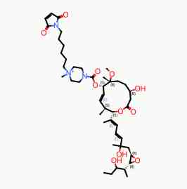 CCC(O)C(C)[C@H]1O[C@@H]1CC(C)(O)/C=C/C=C(\C)[C@H]1OC(=O)C[C@H](O)CC[C@@](C)(OC)[C@@H](OC(=O)N2CC[N+](C)(CCCCCCN3C(=O)C=CC3=O)CC2)/C=C/[C@@H]1C